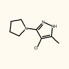 Cc1[nH]nc(N2CCCC2)c1Cl